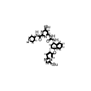 CN1CCC(NC(=O)c2nc(NC(=O)N[C@H]3CC[C@@H](Oc4ccc5nnc(C(C)(C)C)n5c4)c4ccccc43)cc(C(C)(C)C)n2)CC1